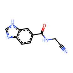 N#CCNC(=O)c1ccc2nc[nH]c2c1